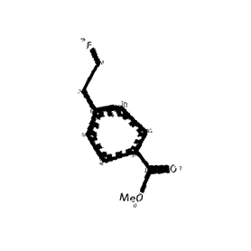 COC(=O)c1ccc(CCF)cc1